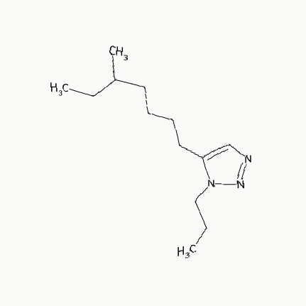 CCCn1nncc1CCCCC(C)CC